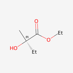 CCOC(=O)[C@](C)(O)CC